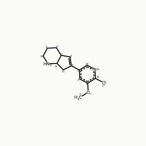 COc1cc(C2=CC3CCCNC3C2)cnc1Cl